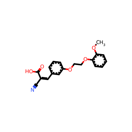 COc1ccccc1OCCOc1cccc(/C=C(/C#N)C(=O)O)c1